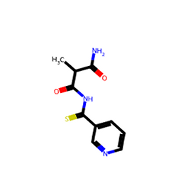 C[C](C(N)=O)C(=O)NC(=S)c1cccnc1